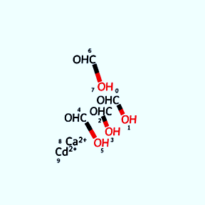 O=[C-]O.O=[C-]O.O=[C-]O.O=[C-]O.[Ca+2].[Cd+2]